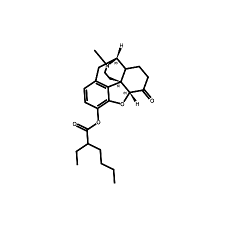 CCCCC(CC)C(=O)Oc1ccc2c3c1O[C@H]1C(=O)CCC4[C@@H](C2)N(C)CC[C@@]341